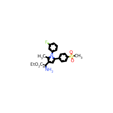 CCOC(=O)[C@H](N)c1cc(-c2ccc(S(C)(=O)=O)cc2)n(-c2cccc(F)c2)c1C